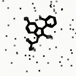 Cc1c(-c2ccccc2F)c2cc(Cl)ccc2n1CC(N)=O